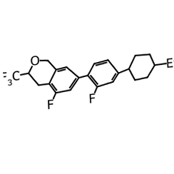 CCC1CCC(c2ccc(-c3cc(F)c4c(c3)COC(C(F)(F)F)C4)c(F)c2)CC1